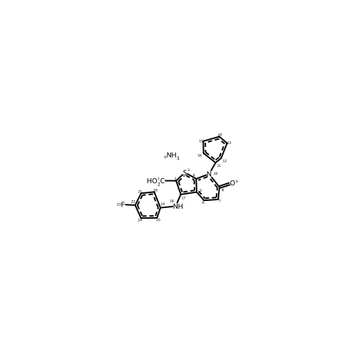 N.O=C(O)c1sc2c(ccc(=O)n2-c2ccccc2)c1Nc1ccc(F)cc1